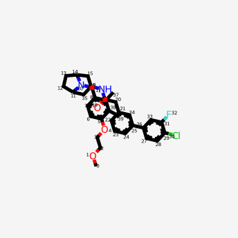 COCCOc1ccc(CN2C3CCC2CC(NC(=O)Cc2cccc(-c4ccc(Cl)c(F)c4)c2)C3)c(C)c1C